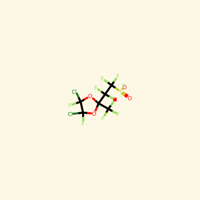 O=S(=O)(F)C(F)(F)C(F)(F)C1(C(F)(F)F)OC(F)(Cl)C(F)(Cl)O1